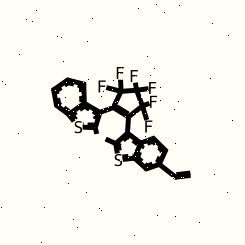 C=Cc1ccc2c(C3=C(c4c(C)sc5ccccc45)C(F)(F)C(F)(F)C3(F)F)c(C)sc2c1